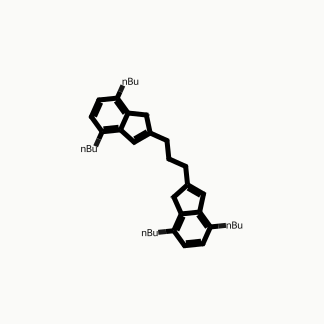 CCCCc1ccc(CCCC)c2c1[CH]C(CCCC1=Cc3c(CCCC)ccc(CCCC)c3[CH]1)=C2